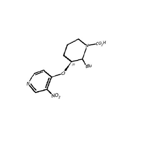 CC(C)(C)C1[C@@H](Oc2ccncc2[N+](=O)[O-])CCCN1C(=O)O